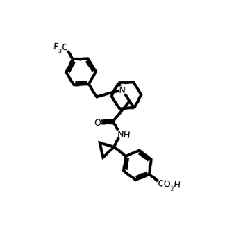 O=C(O)c1ccc(C2(NC(=O)C3C4CCC(CC4)N3Cc3ccc(C(F)(F)F)cc3)CC2)cc1